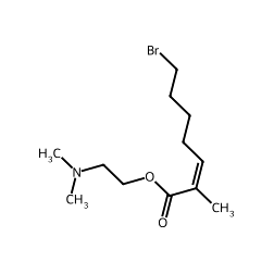 CC(=CCCCCBr)C(=O)OCCN(C)C